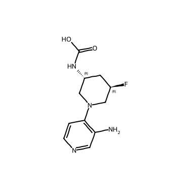 Nc1cnccc1N1C[C@H](F)C[C@@H](NC(=O)O)C1